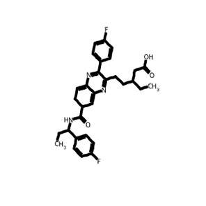 CCC(CCc1nc2c(nc1-c1ccc(F)cc1)=CCC(C(=O)NC(CC)c1ccc(F)cc1)C=2)CC(=O)O